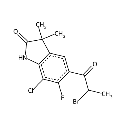 CC(Br)C(=O)c1cc2c(c(Cl)c1F)NC(=O)C2(C)C